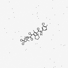 Cc1ccc(NC(=O)c2c(C)c(C(=O)C(=O)NC3(C)CS(=O)(=O)C3)c3n2CCC3)cc1Cl